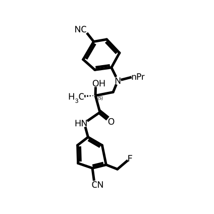 CCCN(C[C@](C)(O)C(=O)Nc1ccc(C#N)c(CF)c1)c1ccc(C#N)cc1